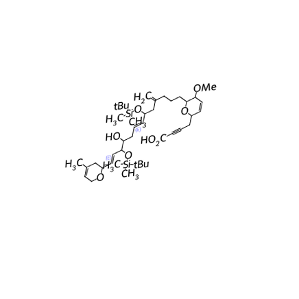 C=C(CCCC1OC(CC#CC(=O)O)C=CC1OC)CC(/C=C/CC(O)C(/C=C/C1CC(C)=CCO1)O[Si](C)(C)C(C)(C)C)O[Si](C)(C)C(C)(C)C